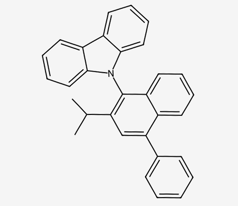 CC(C)c1cc(-c2ccccc2)c2ccccc2c1-n1c2ccccc2c2ccccc21